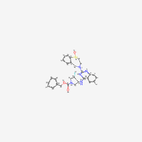 Cc1ccc2nc(N3CC[S+]([O-])c4ccccc4C3)nc(NC3CN(C(=O)OCc4ccccc4)CC3F)c2c1